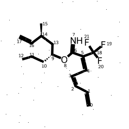 C=C/C=C\C=C(/C(=N)O[C@H](CCC)C[C@H](C)C=C)C(F)(F)F